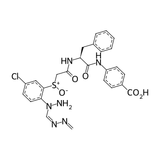 C=N/N=C\N(N)c1ccc(Cl)cc1[S+]([O-])CC(=O)N[C@@H](Cc1ccccc1)C(=O)Nc1ccc(C(=O)O)cc1